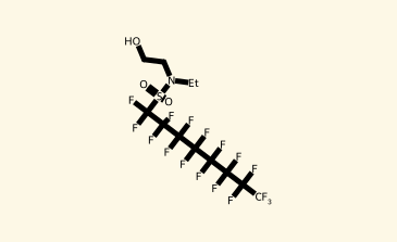 CCN(CCO)S(=O)(=O)C(F)(F)C(F)(F)C(F)(F)C(F)(F)C(F)(F)C(F)(F)C(F)(F)C(F)(F)F